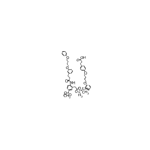 COC(=O)c1ccc(NC(=O)CCc2cccc(OCCCCOc3ccccc3)c2)c(CC(=O)OC(C)(C)C)c1.O=C(O)CCc1ccc(OCCCCOc2ccccc2)cc1